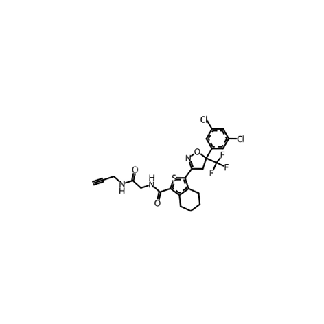 C#CCNC(=O)CNC(=O)c1sc(C2=NOC(c3cc(Cl)cc(Cl)c3)(C(F)(F)F)C2)c2c1CCCC2